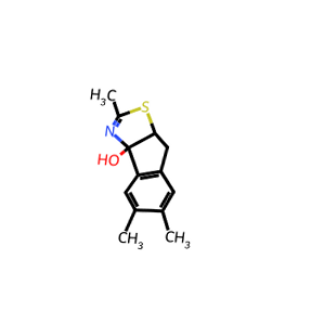 CC1=NC2(O)c3cc(C)c(C)cc3CC2S1